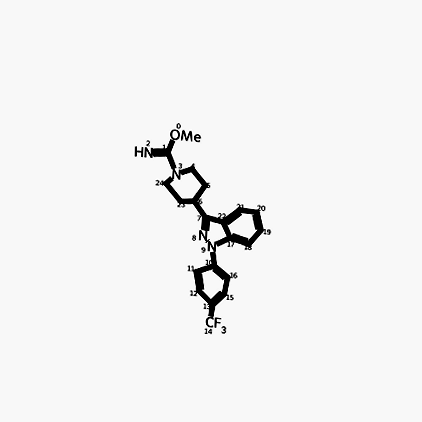 COC(=N)N1CCC(c2nn(-c3ccc(C(F)(F)F)cc3)c3ccccc23)CC1